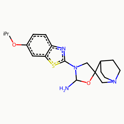 CC(C)Oc1ccc2nc(N3CC4(CN5CCC4CC5)OC3N)sc2c1